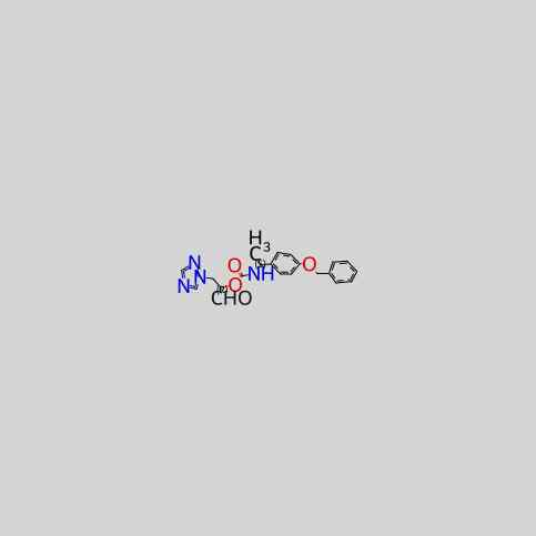 C[C@H](NC(=O)O[C@@H](C=O)Cn1cncn1)c1ccc(OCc2ccccc2)cc1